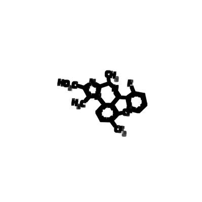 Cc1c(C(=O)O)nc2n1-c1ccc(C(F)(F)F)c(Cl)c1C(c1ncccc1F)=NC2C